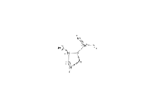 CN1C=N[C]C1[N+](=O)[O-]